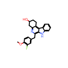 COc1ccc(Cc2nc3c(c4c2[nH]c2ccccc24)CCC(O)C3)cc1F